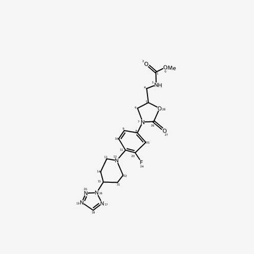 COC(=O)NCC1CN(c2ccc(N3CCC(n4ncnn4)CC3)c(F)c2)C(=O)O1